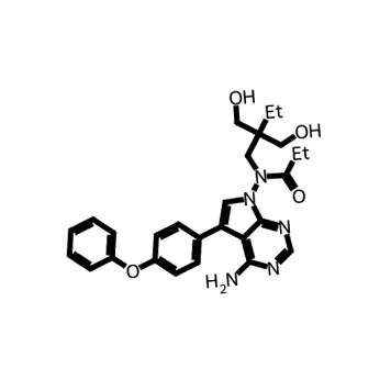 CCC(=O)N(CC(CC)(CO)CO)n1cc(-c2ccc(Oc3ccccc3)cc2)c2c(N)ncnc21